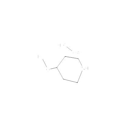 CCOC1CCNCC1.COC(C)=O